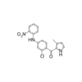 Cc1cc[nH]c1C(=O)c1ccc(Nc2ccccc2[N+](=O)[O-])cc1Cl